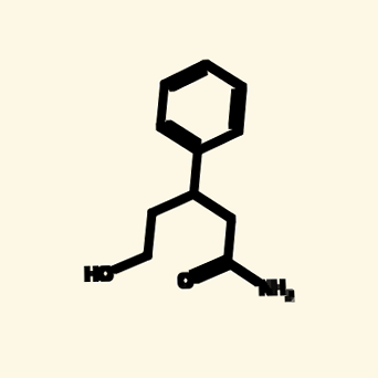 NC(=O)CC(CCO)c1ccccc1